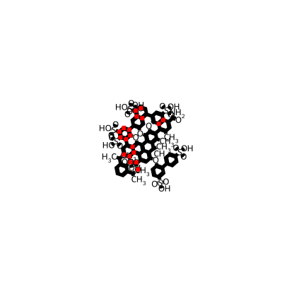 Cc1cc(C(N)=O)ccc1-c1c(C)c2c(c(Oc3ccc(S(=O)(=O)O)cc3-c3ccc(S(=O)(=O)O)cc3)c1Oc1ccc(S(=O)(=O)O)cc1-c1ccc(S(=O)(=O)O)cc1)-c1c(Oc3ccc(S(=O)(=O)O)cc3-c3ccc(S(=O)(=O)O)cc3)cc3c4c(cc(Oc5ccc(S(=O)(=O)O)cc5-c5ccc(S(=O)(=O)O)cc5)c(c14)C2(C)C)C(=O)N(c1c(C(C)C)cccc1C(C)C)C3=O